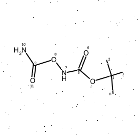 CC(C)(C)OC(=O)NOC(N)=O